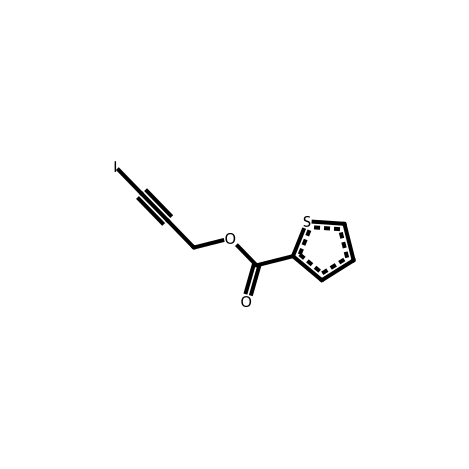 O=C(OCC#CI)c1cccs1